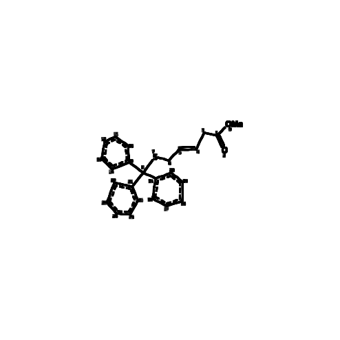 COC(=O)CC=CCSC(c1ccccc1)(c1ccccc1)c1ccccc1